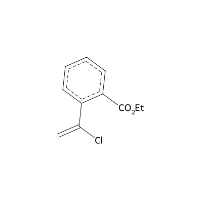 C=C(Cl)c1ccccc1C(=O)OCC